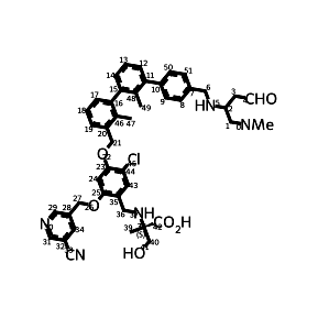 CNCC(CC=O)NCc1ccc(-c2cccc(-c3cccc(COc4cc(OCc5cncc(C#N)c5)c(CN[C@@](C)(CO)C(=O)O)cc4Cl)c3C)c2C)cc1